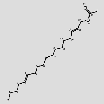 CCCCC=CCCCCCCCCCC=CCOC(C)=O